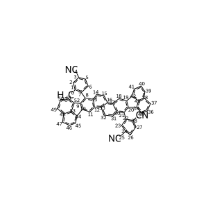 Cc1cc(C#N)ccc1-c1c2c(cc3c1ccc1c4cc5c(c(-c6cc(C#N)ccc6C#N)c4ccc31)-c1cccc3cccc-5c13)-c1cccc3cccc-2c13